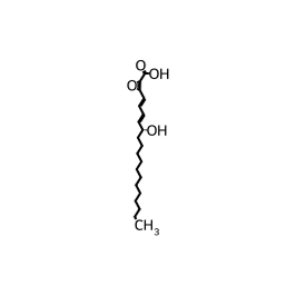 CCCCCCCCCCCC[C@@H](O)C=CC=CC1=C(C(=O)O)O1